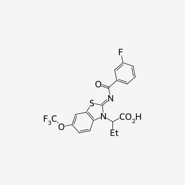 CCC(C(=O)O)n1/c(=N/C(=O)c2cccc(F)c2)sc2cc(OC(F)(F)F)ccc21